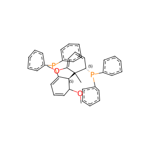 COC1=CC=C[C@H](P(c2ccccc2)c2ccccc2)C1(C)[C@@H]1C(P(c2ccccc2)c2ccccc2)=CC=CC1OC